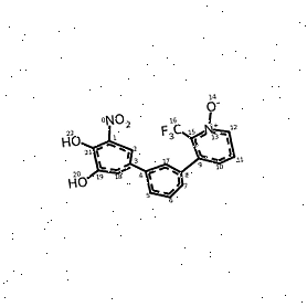 O=[N+]([O-])c1cc(-c2cccc(-c3ccc[n+]([O-])c3C(F)(F)F)c2)cc(O)c1O